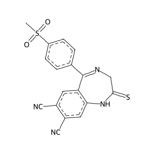 CS(=O)(=O)c1ccc(C2=NCC(=S)Nc3cc(C#N)c(C#N)cc32)cc1